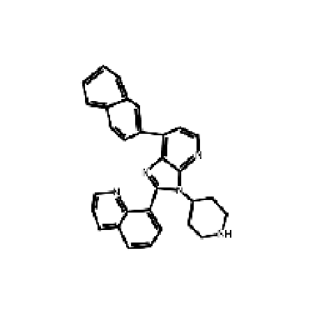 c1ccc2cc(-c3ccnc4c3nc(-c3cccc5cccnc35)n4C3CCNCC3)ccc2c1